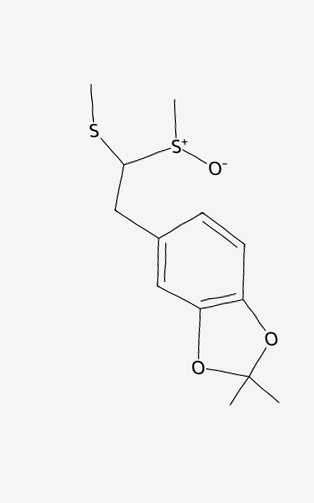 CSC(Cc1ccc2c(c1)OC(C)(C)O2)[S+](C)[O-]